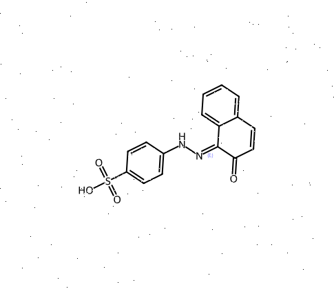 O=C1C=Cc2ccccc2/C1=N\Nc1ccc(S(=O)(=O)O)cc1